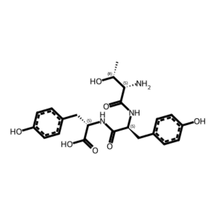 C[C@@H](O)[C@H](N)C(=O)N[C@@H](Cc1ccc(O)cc1)C(=O)N[C@@H](Cc1ccc(O)cc1)C(=O)O